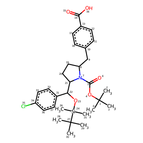 CC(C)(C)OC(=O)N1C(Cc2ccc(C(=O)O)cc2)CCC1C(O[Si](C)(C)C(C)(C)C)c1ccc(Cl)cc1